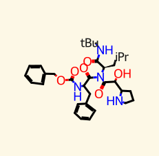 CC(C)C[C@H](C(=O)NC(C)(C)C)N(C(=O)C(Cc1ccccc1)NC(=O)OCc1ccccc1)C(=O)C(O)C1CCCN1